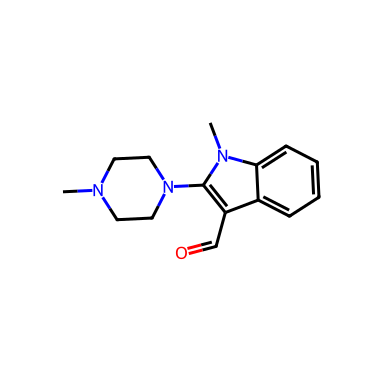 CN1CCN(c2c(C=O)c3ccccc3n2C)CC1